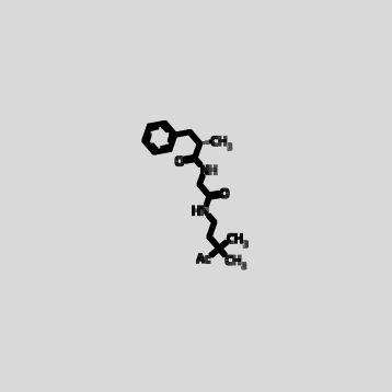 CC(=O)C(C)(C)CCNC(=O)CNC(=O)[C@@H](C)Cc1ccccc1